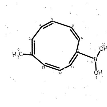 Cc1cccccc(B(O)O)ccc1